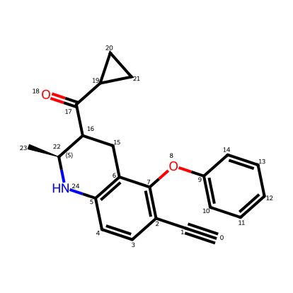 C#Cc1ccc2c(c1Oc1ccccc1)CC(C(=O)C1CC1)[C@H](C)N2